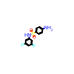 Nc1ccc(S(=O)(=O)Nc2cc(F)cc(F)c2)cc1